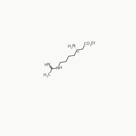 CCOC(=O)C[C@@H](N)CCCCNC(C)=N